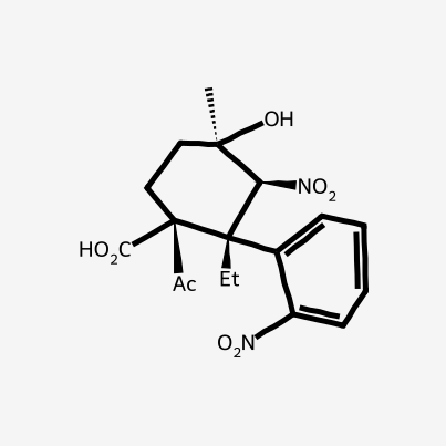 CC[C@]1(c2ccccc2[N+](=O)[O-])[C@H]([N+](=O)[O-])[C@](C)(O)CC[C@@]1(C(C)=O)C(=O)O